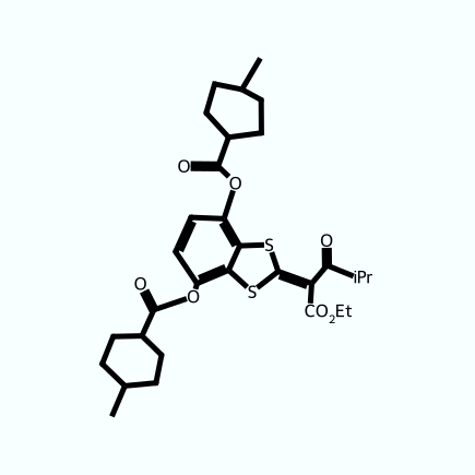 CCOC(=O)C(C(=O)C(C)C)=C1Sc2c(OC(=O)C3CCC(C)CC3)ccc(OC(=O)C3CCC(C)CC3)c2S1